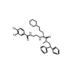 CN(CC(c1ccccc1)c1ccccc1)C(=O)[C@H](CCCN1CCCCC1)NCCNC(=O)c1ccc(Cl)c(Cl)c1